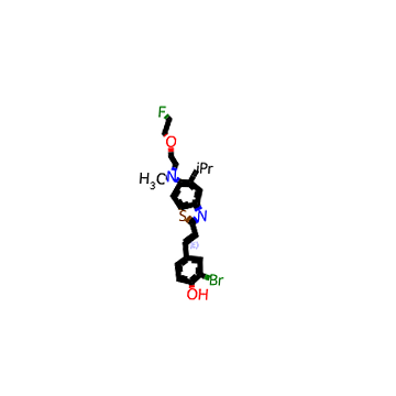 CC(C)c1cc2nc(/C=C/c3ccc(O)c(Br)c3)sc2cc1N(C)CCOCCF